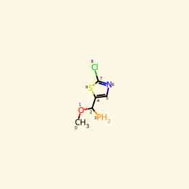 COC(P)c1cnc(Cl)s1